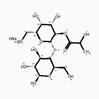 CC(O)C(=O)O[C@H]1[C@H](O[C@H]2[C@H](O)[C@@H](O)[C@H](O)O[C@@H]2CO)O[C@H](CO)[C@H](O)[C@@H]1O.[NaH]